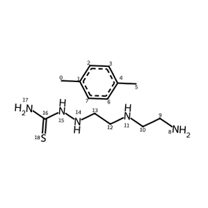 Cc1ccc(C)cc1.NCCNCCNNC(N)=S